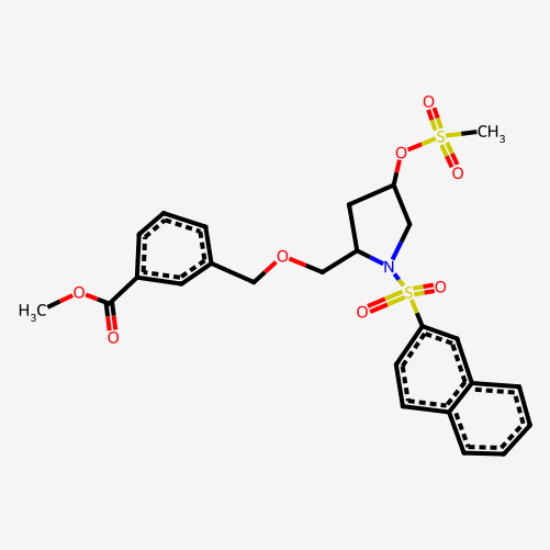 COC(=O)c1cccc(COCC2CC(OS(C)(=O)=O)CN2S(=O)(=O)c2ccc3ccccc3c2)c1